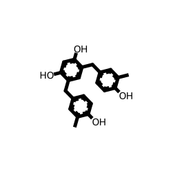 Cc1cc(Cc2cc(Cc3ccc(O)c(C)c3)c(O)cc2O)ccc1O